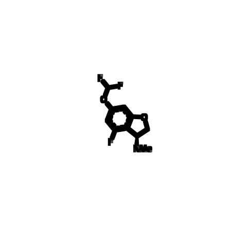 CN[C@@H]1COc2cc(OC(F)F)cc(F)c21